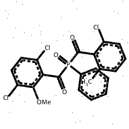 COc1c(Cl)ccc(Cl)c1C(=O)P(=O)(C(=O)c1c(C)cccc1Cl)c1ccccc1